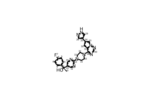 C[C@@](O)(c1ccc(F)cc1)c1cnc(N2CCN(c3ncnn4cc(-c5cn[nH]c5)cc34)CC2)nc1